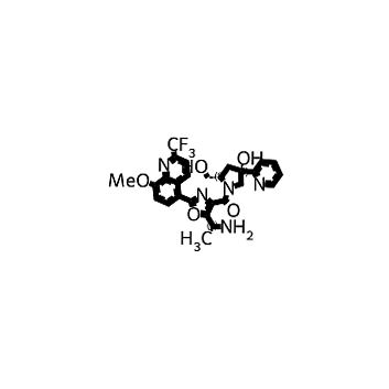 COc1ccc(-c2nc(C(=O)N3C[C@](O)(c4ccccn4)C[C@H]3CO)c([C@H](C)N)o2)c2ccc(C(F)(F)F)nc12